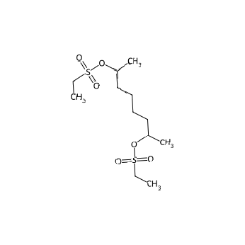 CCS(=O)(=O)OC(C)CCCCC(C)OS(=O)(=O)CC